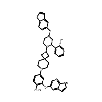 CC(C)c1ccccc1C1CN(Cc2ccc3occc3c2)CCN1C1CC2(CCN(c3ccc(C=O)c(Oc4cnc5[nH]ccc5c4)c3)CC2)C1